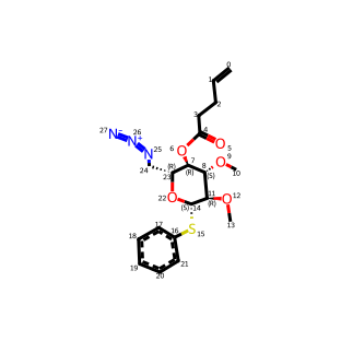 C=CCCC(=O)O[C@H]1[C@H](OC)[C@@H](OC)[C@H](Sc2ccccc2)O[C@@H]1CN=[N+]=[N-]